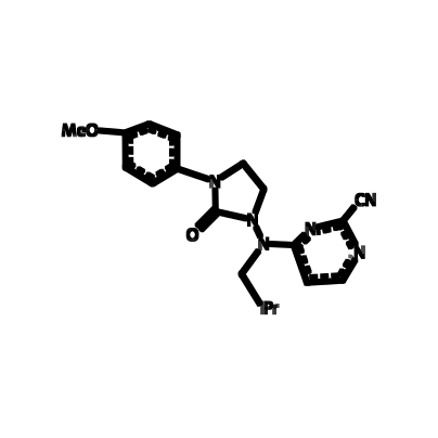 COc1ccc(N2CCN(N(CC(C)C)c3ccnc(C#N)n3)C2=O)cc1